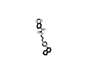 O=C(Nc1ccc2c(c1)OCCO2)OCCCN1CCN(c2cccc3ccccc23)CC1